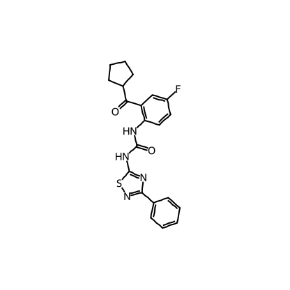 O=C(Nc1nc(-c2ccccc2)ns1)Nc1ccc(F)cc1C(=O)C1CCCC1